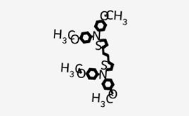 COc1ccc(N(c2ccc(OC)cc2)c2ccc(/C=C/c3ccc(N(c4ccc(OC)cc4)c4ccc(OC)cc4)s3)s2)cc1